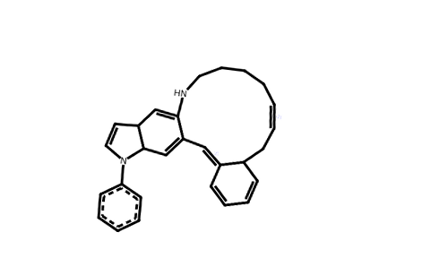 C1=C/C2=C\C3=CC4C(C=CN4c4ccccc4)C=C3NCCCC/C=C\CC2C=C1